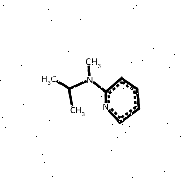 CC(C)N(C)c1[c]cccn1